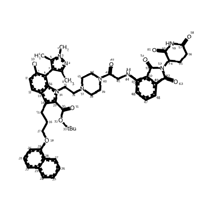 Cc1nn(C)c(C)c1-c1c(Cl)ccc2c(CCCOc3cccc4ccccc34)c(C(=O)OC(C)(C)C)n(CCN3CCN(C(=O)CNc4cccc5c4C(=O)N(C4CCC(=O)NC4=O)C5=O)CC3)c12